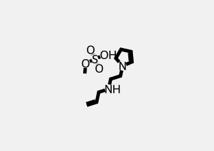 C=CCNCCN1C=CCC1.COS(=O)(=O)O